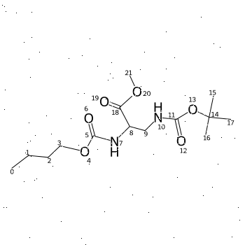 CCCCOC(=O)NC(CNC(=O)OC(C)(C)C)C(=O)OC